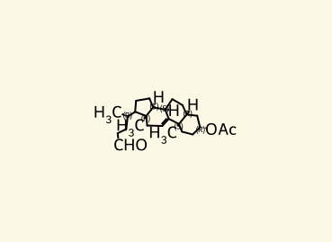 CC(=O)O[C@@H]1CC[C@]2(C)C3=CC[C@]4(C)C([C@H](C)CCC=O)CC[C@H]4[C@@H]3CC[C@@H]2C1